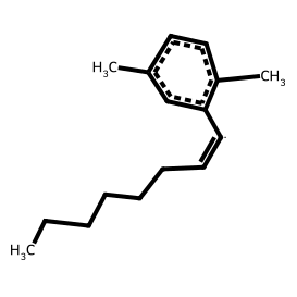 CCCCCC/C=[C]\c1cc(C)ccc1C